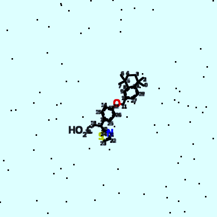 CC1(C)CCC(C)(C)c2cc(COc3ccc(C(CC(=O)O)c4nccs4)cc3)ccc21